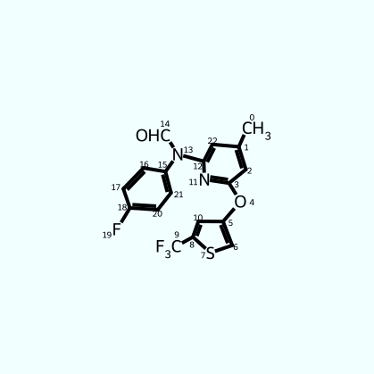 Cc1cc(Oc2csc(C(F)(F)F)c2)nc(N(C=O)c2ccc(F)cc2)c1